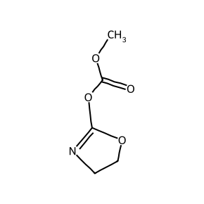 COC(=O)OC1=NCCO1